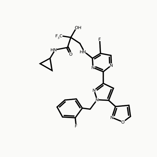 O=C(NC1CC1)C(O)(CNc1nc(-c2cc(-c3ccon3)n(Cc3ccccc3F)n2)ncc1F)C(F)(F)F